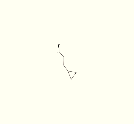 F[CH]CCC1CC1